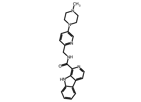 CN1CCN(c2ccc(CNC(=O)c3nccc4c3[nH]c3ccccc34)nc2)CC1